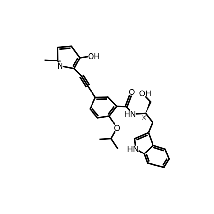 Cc1ccc(O)c(C#Cc2ccc(OC(C)C)c(C(=O)N[C@@H](CO)Cc3c[nH]c4ccccc34)c2)n1